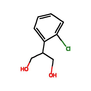 OCC(CO)c1ccccc1Cl